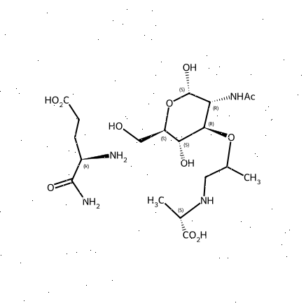 CC(=O)N[C@@H]1[C@@H](OC(C)CN[C@@H](C)C(=O)O)[C@H](O)[C@@H](CO)O[C@@H]1O.NC(=O)[C@H](N)CCC(=O)O